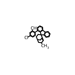 Cc1cc(Cl)ccc1-c1cccc2c1C1(CCC3CC1=CC(C)C3)c1ccccc1-2